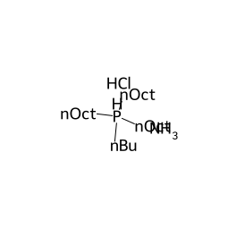 CCCCCCCC[PH](CCCC)(CCCCCCCC)CCCCCCCC.Cl.N